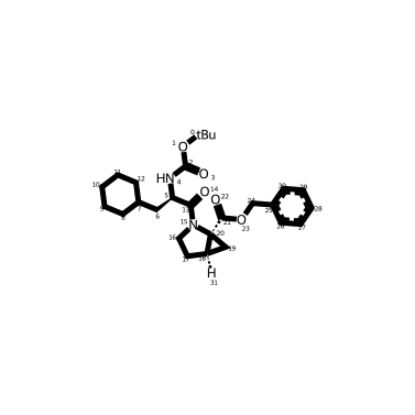 CC(C)(C)OC(=O)N[C@H](CC1CCCCC1)C(=O)N1CC[C@@H]2C[C@@]21C(=O)OCc1ccccc1